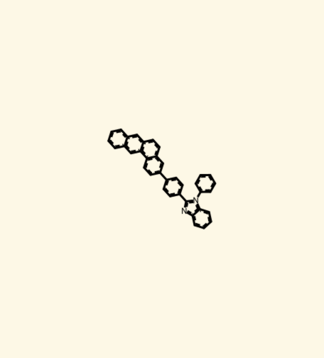 c1ccc(-n2c(-c3ccc(-c4ccc5c(ccc6cc7ccccc7cc65)c4)cc3)nc3ccccc32)cc1